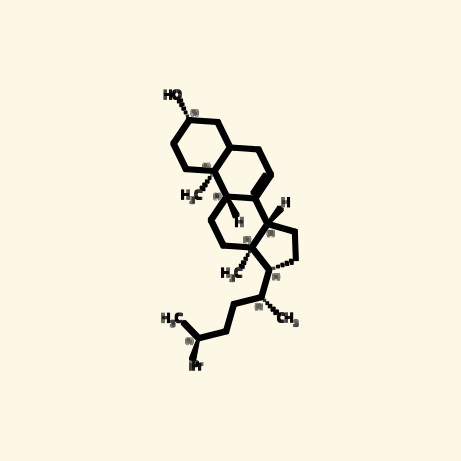 CC(C)[C@@H](C)CC[C@@H](C)[C@H]1CC[C@H]2C3=CCC4C[C@@H](O)CC[C@]4(C)[C@H]3CC[C@]12C